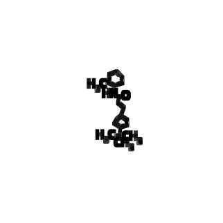 Cc1ccccc1NC(=O)/C=C/c1ccc(C(C)(C)C)cc1